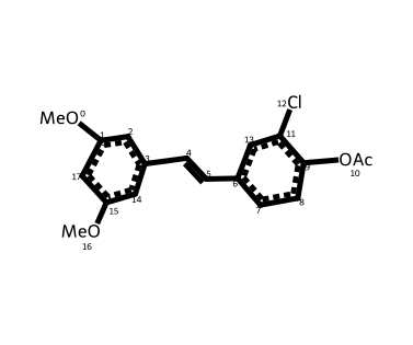 COc1cc(/C=C/c2ccc(OC(C)=O)c(Cl)c2)cc(OC)c1